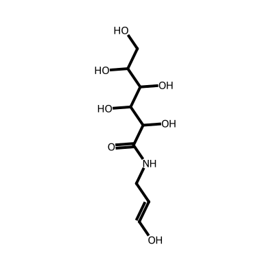 O=C(NCC=CO)C(O)C(O)C(O)C(O)CO